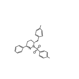 Cc1ccc(C[C@@H]2CCC(c3ccccc3)=NN2S(=O)(=O)c2ccc(C)cc2)cc1